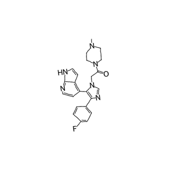 CN1CCN(C(=O)Cn2cnc(-c3ccc(F)cc3)c2-c2ccnc3[nH]ccc23)CC1